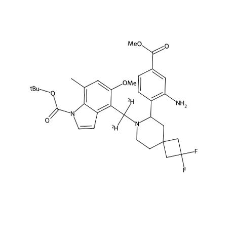 [2H]C([2H])(c1c(OC)cc(C)c2c1ccn2C(=O)OC(C)(C)C)N1CCC2(CC1c1ccc(C(=O)OC)cc1N)CC(F)(F)C2